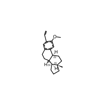 C=Cc1cc2c(cc1OC)[C@H]1CC[C@]3(C)CCC[C@H]3[C@@H]1CC2